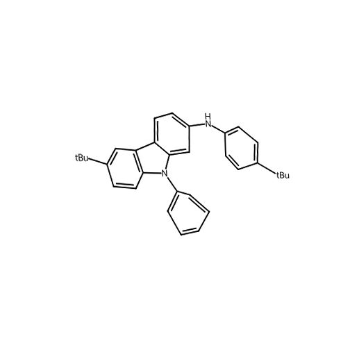 CC(C)(C)c1ccc(Nc2ccc3c4cc(C(C)(C)C)ccc4n(-c4ccccc4)c3c2)cc1